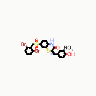 O=C1Nc2ccc(S(=O)(=O)Cc3c(Br)cccc3Br)cc2S/C1=C/c1ccc(O)c([N+](=O)[O-])c1